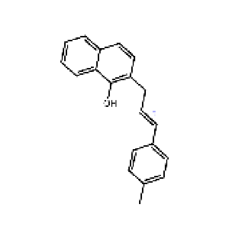 Cc1ccc(/C=C/Cc2ccc3ccccc3c2O)cc1